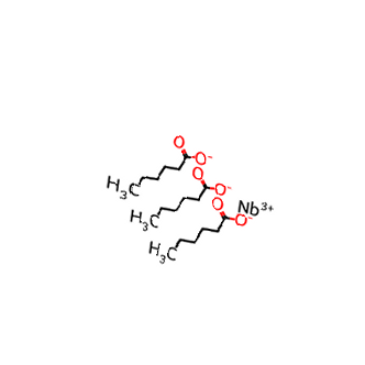 CCCCCC(=O)[O-].CCCCCC(=O)[O-].CCCCCC(=O)[O-].[Nb+3]